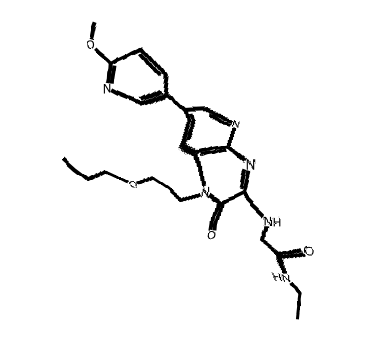 CCCOCCn1c(=O)c(NCC(=O)NCC)nc2ncc(-c3ccc(OC)nc3)cc21